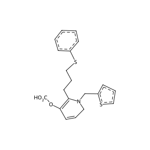 O=C(O)OC1=C(CCCSc2ccccc2)N(Cc2cccs2)CC=C1